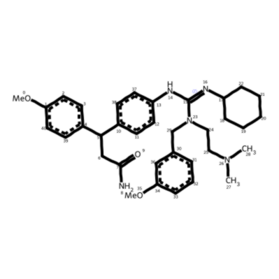 COc1ccc(C(CC(N)=O)c2ccc(N/C(=N/C3CCCCC3)N(CCN(C)C)Cc3cccc(OC)c3)cc2)cc1